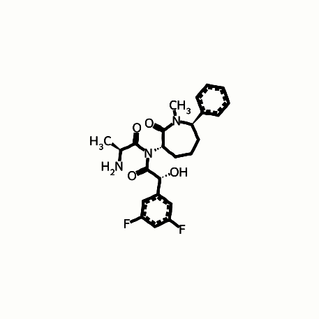 C[C@H](N)C(=O)N(C(=O)[C@H](O)c1cc(F)cc(F)c1)[C@H]1CCC[C@H](c2ccccc2)N(C)C1=O